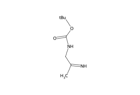 CC(=N)CNC(=O)OC(C)(C)C